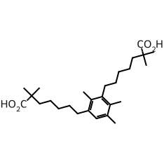 Cc1cc(CCCCCC(C)(C)C(=O)O)c(C)c(CCCCCC(C)(C)C(=O)O)c1C